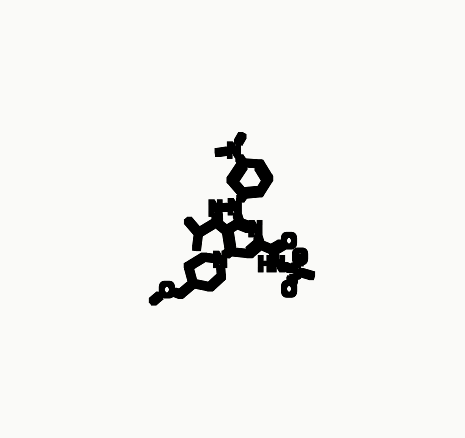 COCC1CCN(c2cc(C(=O)NS(C)(=O)=O)nc3c2c(C(C)C)nn3-c2cccc(N(C)C)c2)CC1